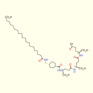 CCC(=O)CC[C@H](NC(=O)CC[C@H](NC(=O)CC[C@H](NC(=O)[C@H]1CC[C@H](CNC(=O)CCCCCCCCCCCCCCCCCCC(=O)O)CC1)C(=O)O)C(=O)O)C(=O)O